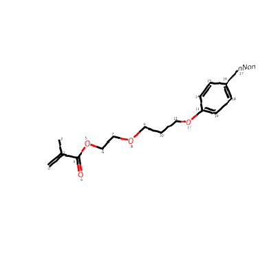 C=C(C)C(=O)OCCOCCCOc1ccc(CCCCCCCCC)cc1